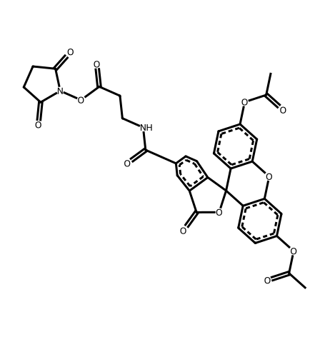 CC(=O)Oc1ccc2c(c1)Oc1cc(OC(C)=O)ccc1C21OC(=O)c2cc(C(=O)NCCC(=O)ON3C(=O)CCC3=O)ccc21